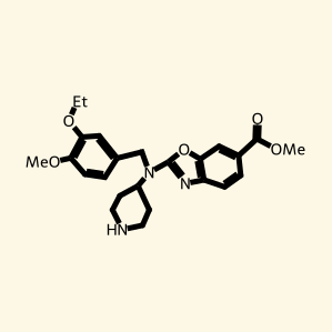 CCOc1cc(CN(c2nc3ccc(C(=O)OC)cc3o2)C2CCNCC2)ccc1OC